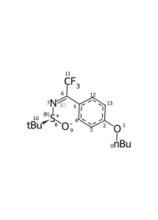 CCCCOc1ccc(/C(=N\[S@@+]([O-])C(C)(C)C)C(F)(F)F)cc1